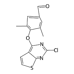 Cc1cc(C=O)cc(C)c1Oc1nc(Cl)nc2sccc12